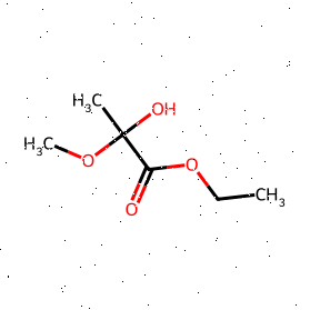 CCOC(=O)C(C)(O)OC